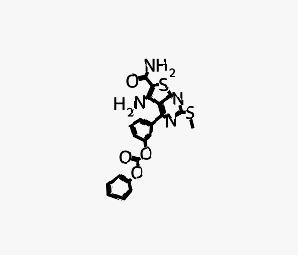 CSc1nc(-c2cccc(OC(=O)Oc3ccccc3)c2)c2c(N)c(C(N)=O)sc2n1